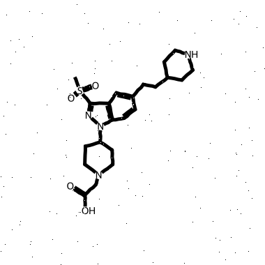 CS(=O)(=O)c1nn(C2CCN(CC(=O)O)CC2)c2ccc(CCC3CCNCC3)cc12